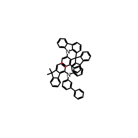 CC1(C)c2ccccc2-c2c(N(c3cccc(-c4ccccc4)c3)c3ccccc3-c3cccc4c3C3(c5ccccc5-c5ccccc53)c3cccc5c6ccccc6n-4c35)cccc21